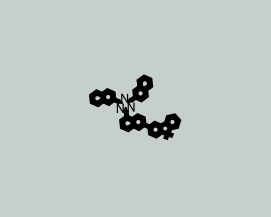 CC1(C)c2ccccc2-c2cc(-c3ccc4c(-c5nc(-c6ccc7ccccc7c6)nc(-c6ccc7ccccc7c6)n5)cccc4c3)ccc21